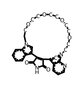 O=C1NC(=O)C2=C1c1cn(c3ccccc13)CCOCCOCCOCCOCCn1cc2c2cccnc21